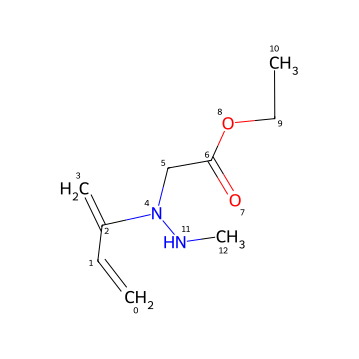 C=CC(=C)N(CC(=O)OCC)NC